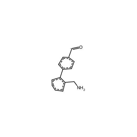 NCc1ccccc1-c1ccc([C]=O)cc1